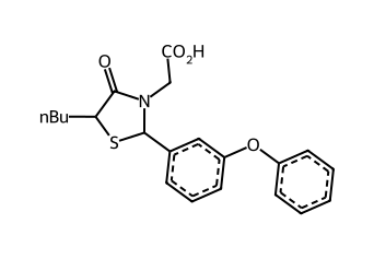 CCCCC1SC(c2cccc(Oc3ccccc3)c2)N(CC(=O)O)C1=O